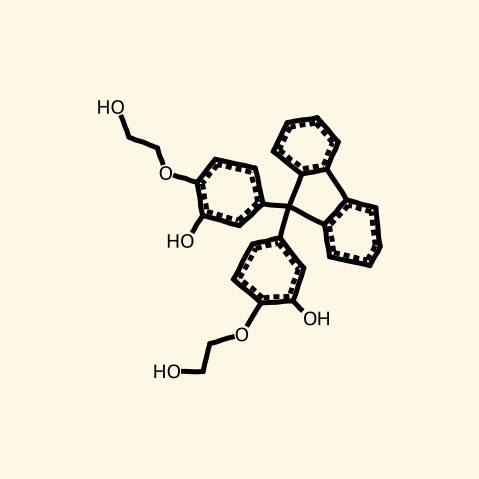 OCCOc1ccc(C2(c3ccc(OCCO)c(O)c3)c3ccccc3-c3ccccc32)cc1O